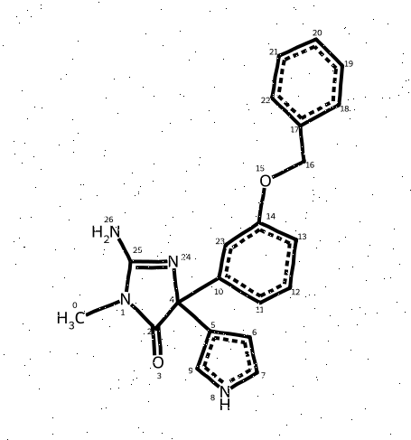 CN1C(=O)C(c2cc[nH]c2)(c2cccc(OCc3ccccc3)c2)N=C1N